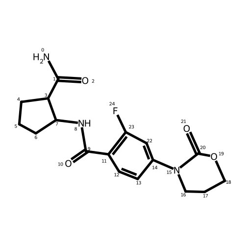 NC(=O)C1CCCC1NC(=O)c1ccc(N2CCCOC2=O)cc1F